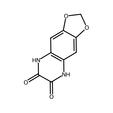 O=c1[nH]c2cc3c(cc2[nH]c1=O)OCO3